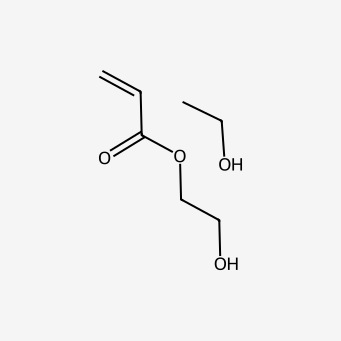 C=CC(=O)OCCO.CCO